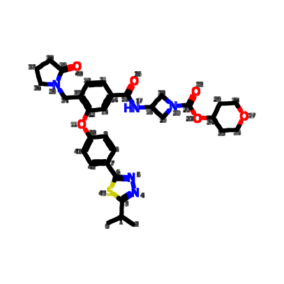 CC(C)c1nnc(-c2ccc(Oc3cc(C(=O)NC4CN(C(=O)OC5CCOCC5)C4)ccc3CN3CCCC3=O)cc2)s1